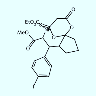 CCOC(=O)NC(C(=O)OC)C(c1ccc(I)cc1)C1CCCC12OC(=O)CC(=O)O2